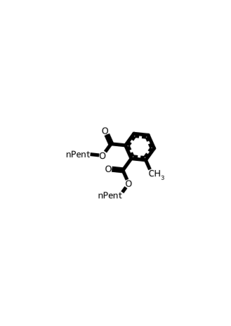 CCCCCOC(=O)c1cccc(C)c1C(=O)OCCCCC